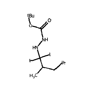 CC(C)CC(C)C(I)(I)NNC(=O)OC(C)(C)C